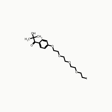 CC(C)(O)C(=O)c1ccc(OCCOCCOCCOCCI)cc1